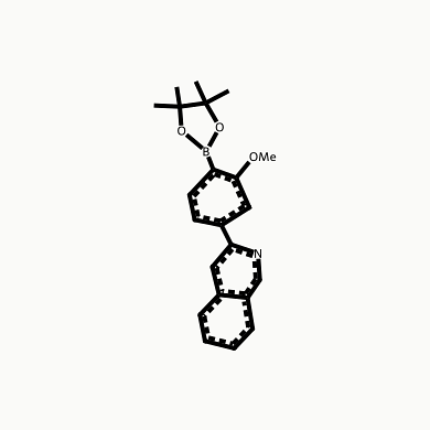 COc1cc(-c2cc3ccccc3cn2)ccc1B1OC(C)(C)C(C)(C)O1